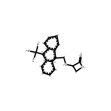 O=C1OCC1OCc1c2ccccc2c(C(F)(F)F)c2ccccc12